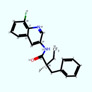 C[C@@](Cc1ccccc1)(CC(F)(F)F)C(=O)Nc1cnc2c(F)cccc2c1